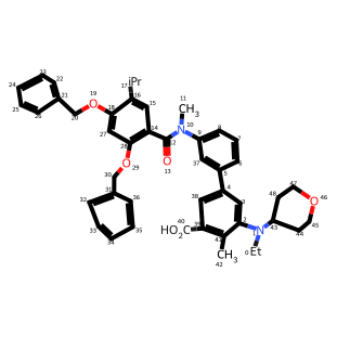 CCN(c1cc(-c2cccc(N(C)C(=O)c3cc(C(C)C)c(OCc4ccccc4)cc3OCc3ccccc3)c2)cc(C(=O)O)c1C)C1CCOCC1